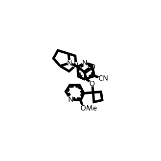 COc1ncccc1C1(OCC(=O)N2CC3CCC(C2)N3c2ccc(C#N)cn2)CCC1